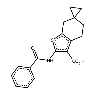 O=C(Nc1sc2c(c1C(=O)O)CCC1(CC1)C2)c1ccccc1